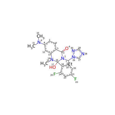 CCC(N1C(=O)c2ccc(N(C)C)cc2N(C)C1(O)c1ccc(F)cc1F)n1cncn1